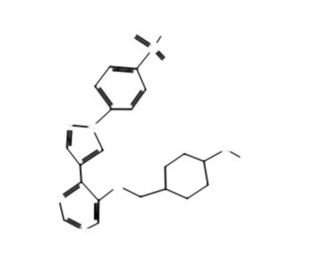 CCS(=O)(=O)c1ccc(-n2cc(-c3ncncc3OCC3CCC(NC(=O)O)CC3)cn2)cc1